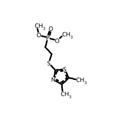 COP(=O)(CCSc1nc(C)c(C)s1)OC